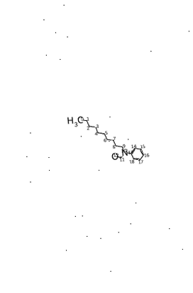 CCCCCCCCCCN(C=O)c1ccccc1